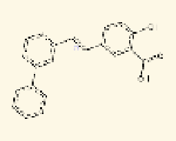 O=C(O)c1cc(/C=C/c2cccc(-c3ccccc3)c2)ccc1O